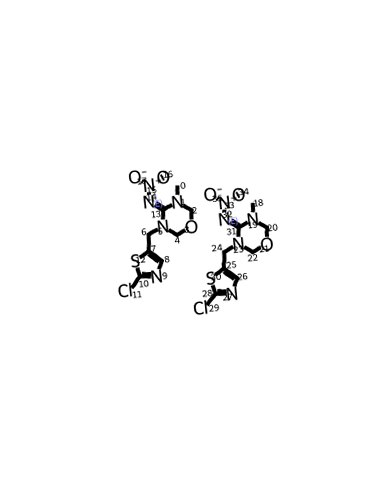 CN1COCN(Cc2cnc(Cl)s2)/C1=N/[N+](=O)[O-].CN1COCN(Cc2cnc(Cl)s2)/C1=N/[N+](=O)[O-]